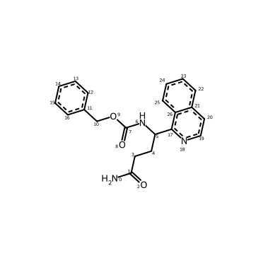 NC(=O)CCC(NC(=O)OCc1ccccc1)c1nccc2ccccc12